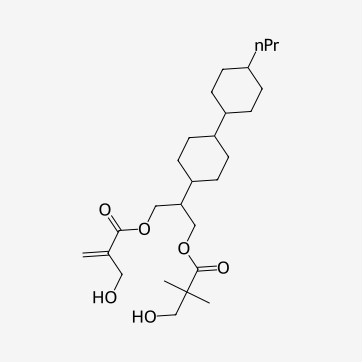 C=C(CO)C(=O)OCC(COC(=O)C(C)(C)CO)C1CCC(C2CCC(CCC)CC2)CC1